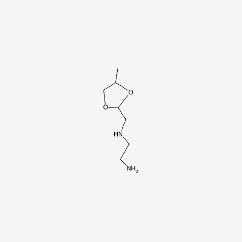 CC1COC(CNCCN)O1